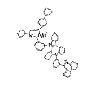 C1=C(c2ccc(-c3ccccc3)cc2)NC(c2cccc(-n3c4c(c5ccccc53)-c3ccccc3N(c3cccc(-c5nc6ccccc6c6ccccc56)c3)c3ccccc3-4)c2)N=C1c1ccccc1